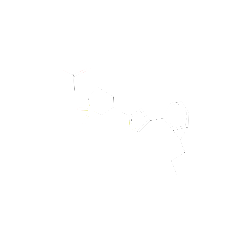 CCCC1c2cccc(-c3csc(C4CC[C@@H](CC(=O)O)S(=O)(=O)C4)c3)c21